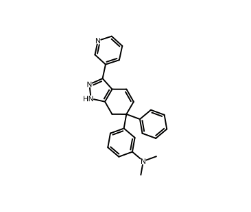 CN(C)c1cccc(C2(c3ccccc3)C=Cc3c(-c4cccnc4)n[nH]c3C2)c1